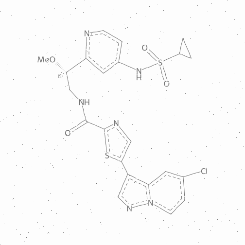 CO[C@@H](CNC(=O)c1ncc(-c2cnn3ccc(Cl)cc23)s1)c1cc(NS(=O)(=O)C2CC2)ccn1